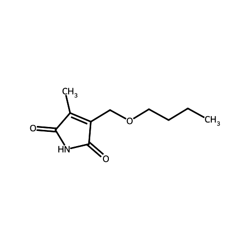 CCCCOCC1=C(C)C(=O)NC1=O